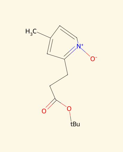 Cc1cc[n+]([O-])c(CCC(=O)OC(C)(C)C)c1